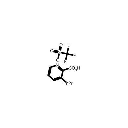 CCCc1cccnc1S(=O)(=O)O.O=S(=O)(O)C(F)(F)F